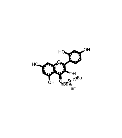 CCC[CH2][Sn+2][CH2]CCC.O=c1c(O)c(-c2ccc(O)cc2O)oc2cc(O)cc(O)c12.[Br-].[Br-]